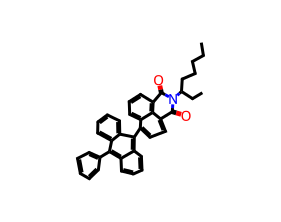 CCCCCC(CC)N1C(=O)c2cccc3c(-c4c5ccccc5c(-c5ccccc5)c5ccccc45)ccc(c23)C1=O